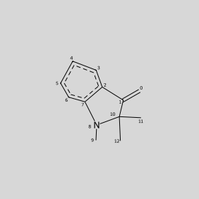 C=C1c2ccccc2N(C)C1(C)C